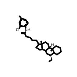 C=C(CCCCC1CCC2C3C[C@H](CC)C4CCCCC4(C)[C@H]3CCC12C)Nc1ccc(C)cc1Cl